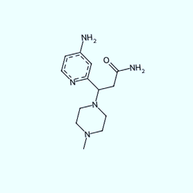 CN1CCN(C(CC(N)=O)c2cc(N)ccn2)CC1